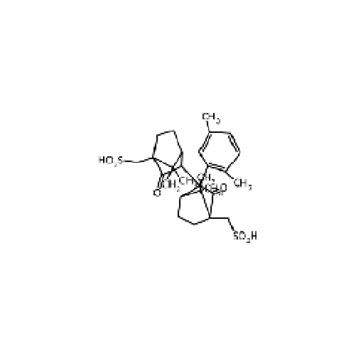 Cc1ccc(C)c(C2(C3C(=O)C4(CS(=O)(=O)O)CCC3C4(C)C)C(=O)C3(CS(=O)(=O)O)CCC2C3(C)C)c1